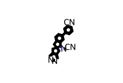 N#C/N=C1\c2cc(-c3cccc(C#N)c3)ccc2CC12Cc1cnncc1C2